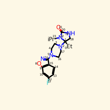 CCC1(N2CCN(c3noc4cc(F)ccc34)CC2)CNC(=O)N1C(C)C